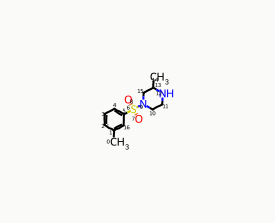 Cc1[c]ccc(S(=O)(=O)N2CCNC(C)C2)c1